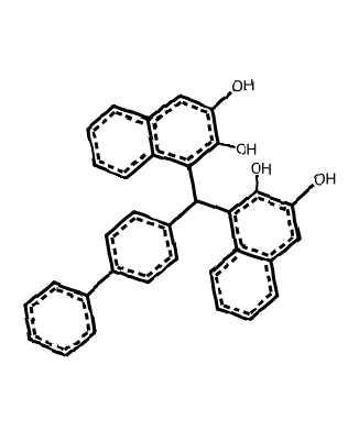 Oc1cc2ccccc2c(C(c2ccc(-c3ccccc3)cc2)c2c(O)c(O)cc3ccccc23)c1O